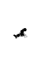 CC#CC(=O)N1CC2(CC(n3nc(-c4ccc(Oc5ccccc5)cn4)c(C(N)=O)c3N)C2)C1